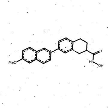 COc1ccc2cc(-c3ccc4c(c3)CC(C(=O)NO)CC4)ccc2c1